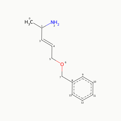 CC(N)C=CCOCc1ccccc1